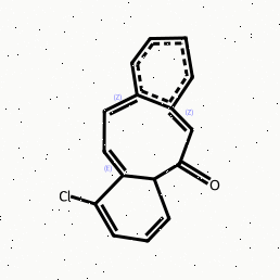 O=C1/C=c2/cccc/c2=C/C=C2/C(Cl)=CC=CC12